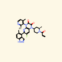 C=CC(=O)N1CCC(n2c(=O)c(=O)n(-c3c(C)ccnc3C(C)C)c3nc(-c4c(C)ccc5[nH]ncc45)c(F)cc32)C[C@H]1C